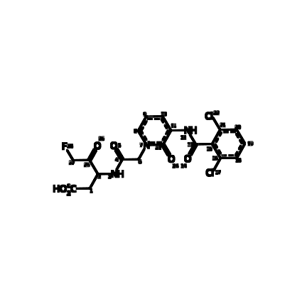 O=C(O)CC(NC(=O)Cn1cccc(NC(=O)c2c(Cl)cccc2Cl)c1=O)C(=O)CF